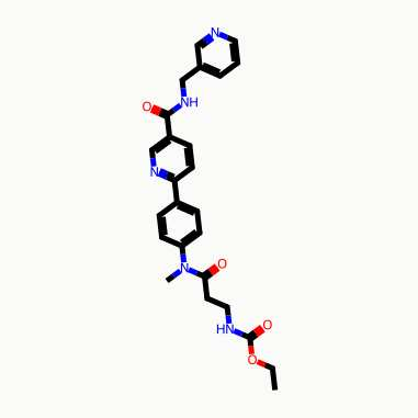 CCOC(=O)NCCC(=O)N(C)c1ccc(-c2ccc(C(=O)NCc3cccnc3)cn2)cc1